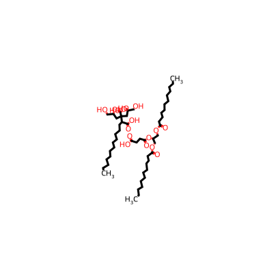 CCCCCCCCCCCC(=O)OCC(COC(=O)CCCCCCCCCCC)OC(=O)CCC(=O)O.CCCCCCCCCCCCC(C(=O)O)C(CC(O)CO)(CC(O)CO)C(=O)O